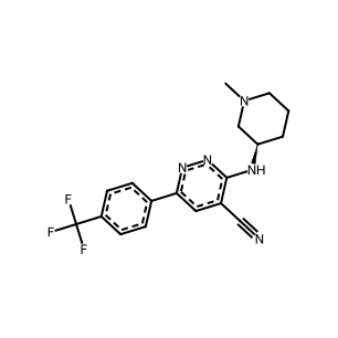 CN1CCC[C@@H](Nc2nnc(-c3ccc(C(F)(F)F)cc3)cc2C#N)C1